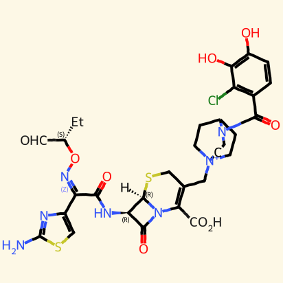 CC[C@@H](C=O)O/N=C(\C(=O)N[C@@H]1C(=O)N2C(C(=O)O)=C(C[N+]34CCC(CC3)N(C(=O)c3ccc(O)c(O)c3Cl)CC4)CS[C@H]12)c1csc(N)n1